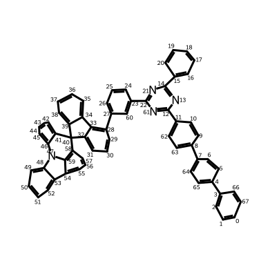 c1ccc(-c2ccc(-c3ccc(-c4nc(-c5ccccc5)nc(-c5cccc(-c6cccc7c6-c6ccccc6C76c7ccccc7-n7c8ccccc8c8cccc6c87)c5)n4)cc3)cc2)cc1